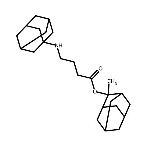 CC1(OC(=O)CCCNC23CC4CC(CC(C4)C2)C3)C2CC3CC(C2)CC1C3